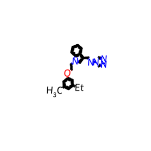 CCc1cc(C)cc(OCCn2cc(C=Nn3cnnc3)c3ccccc32)c1